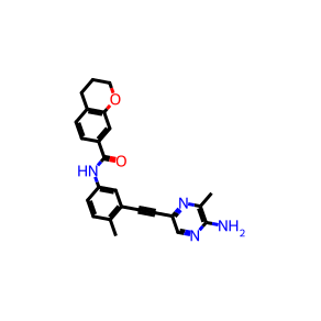 Cc1ccc(NC(=O)c2ccc3c(c2)OCCC3)cc1C#Cc1cnc(N)c(C)n1